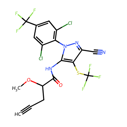 C#CCC(OC)C(=O)Nc1c(SC(F)(F)F)c(C#N)nn1-c1c(Cl)cc(C(F)(F)F)cc1Cl